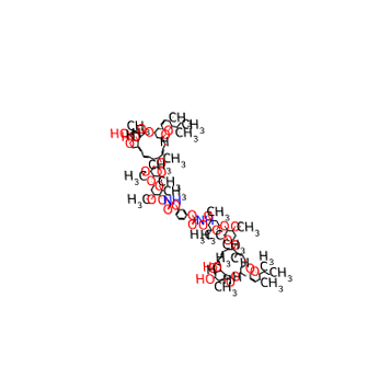 CC[C@H](C)[C@H]1O[C@]2(C=C[C@@H]1C)CC1C[C@@H](C/C=C(\C)[C@@H](O[C@H]3C[C@H](OC)[C@@H](O[C@H]4C[C@H](OC)[C@@H](ONC(=O)Oc5cccc(OC(=O)NO[C@H]6[C@H](C)O[C@@H](OC7[C@H](C)O[C@@H](OC8/C(C)=C/C[C@@H]9C[C@@H](C[C@]%10(C=C[C@H](C)[C@@H]([C@@H](C)CC)O%10)O9)OC(=O)[C@@H]9C=C(C)[C@@H](O)[C@H]%10OC/C(=C\C=C\[C@@H]8C)[C@]%109O)C[C@@H]7OC)C[C@@H]6OC)c5)[C@H](C)O4)[C@H](C)O3)[C@@H](C)/C=C/C=C3\CO[C@@H]4[C@H](O)C(C)=C[C@@H](C(=O)O1)[C@]34O)O2